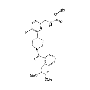 COc1cc2cccc(C(=O)N3CCC(c4cc(CNC(=O)OC(C)(C)C)ccc4F)CC3)c2cc1OC